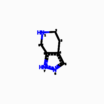 [C]1NCCc2cn[nH]c21